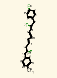 Fc1ccc(CC(F)CC=[C]C=CCC(F)Cc2ccc(C(F)(F)F)cc2)cc1